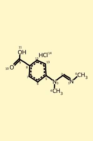 CN=CN(C)c1ccc(C(=O)O)cc1.Cl